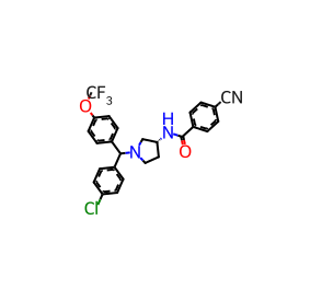 N#Cc1ccc(C(=O)N[C@@H]2CCN(C(c3ccc(Cl)cc3)c3ccc(OC(F)(F)F)cc3)C2)cc1